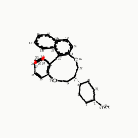 CCC[C@H]1CC[C@H](C2COC3=C(c4c(ccc5ccccc45)OC2)C2C=CC=CC2C=C3)CC1